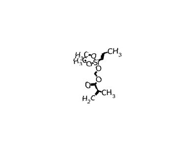 C=C(C)C(=O)OCO[Si](C=CC)(OC)OC